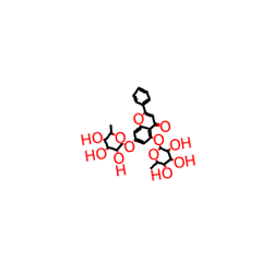 CC1OC(Oc2cc(OC3OC(C)C(O)C(O)C3O)c3c(=O)cc(-c4ccccc4)oc3c2)C(O)C(O)C1O